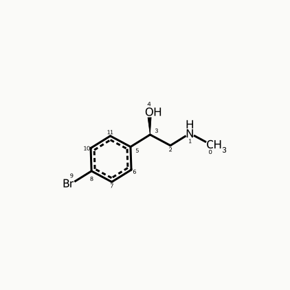 CNC[C@H](O)c1ccc(Br)cc1